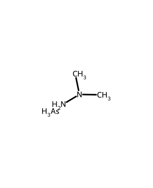 CN(C)N.[AsH3]